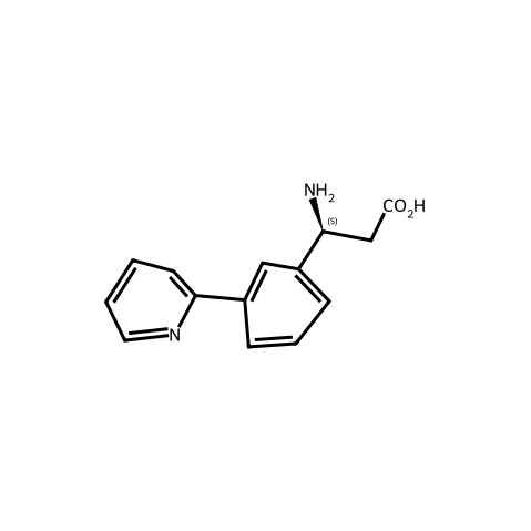 N[C@@H](CC(=O)O)c1cccc(-c2ccccn2)c1